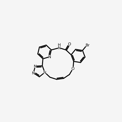 O=C1Nc2cccc(n2)-c2nncn2C/C=C\COc2ccc(Br)cc21